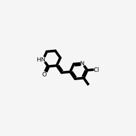 Cc1cc(/C=C2\CCCNC2=O)cnc1Cl